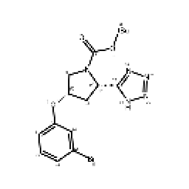 CC(C)(C)OC(=O)N1C[C@@H](Oc2cccc(Br)c2)C[C@H]1c1nnn[nH]1